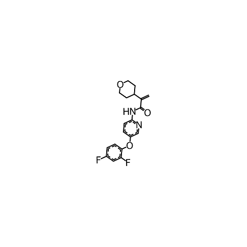 C=C(C(=O)Nc1ccc(Oc2ccc(F)cc2F)cn1)C1CCOCC1